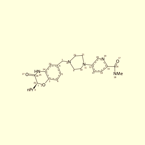 CCC[C@@H]1Oc2ccc(CN3CCN(c4ccc(C(=O)NC)nc4)CC3)cc2NC1=O